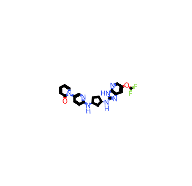 O=c1ccccn1-c1ccc(N[C@H]2CC[C@H](Nc3nc4cc(OC(F)F)cnc4[nH]3)C2)nc1